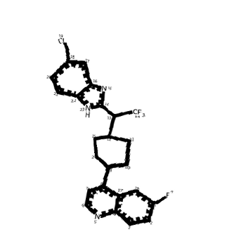 Fc1ccc2nccc(C3CCC(C(c4nc5cc(Cl)ccc5[nH]4)C(F)(F)F)CC3)c2c1